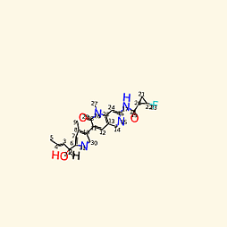 [2H][C@](O)(/C=C/C)c1cc(C)c(-c2cc3cnc(NC(=O)[C@H]4C[C@H]4F)cc3n(C)c2=O)cn1